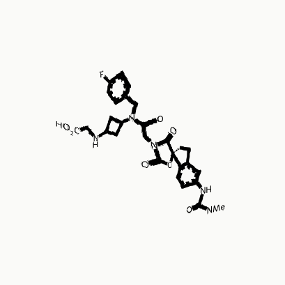 CNC(=O)Nc1ccc2c(c1)CC[C@@]21OC(=O)N(CC(=O)N(Cc2ccc(F)cc2)C2CC(NCC(=O)O)C2)C1=O